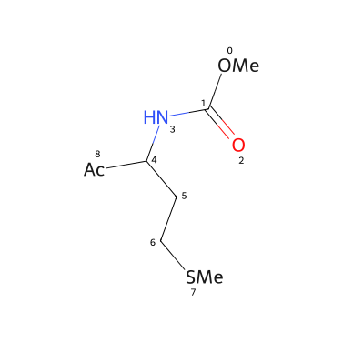 COC(=O)NC(CCSC)C(C)=O